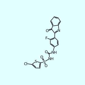 O=C(Nc1ccc(C2=Nc3ccccc3C2=O)c(F)c1)NS(=O)(=O)c1ccc(Cl)s1